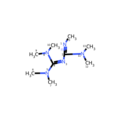 C/N=C(/N=C(N(C)C)N(C)C)N(C)C